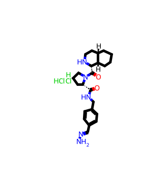 Cl.Cl.NN=Cc1ccc(CNC(=O)[C@@H]2CCCN2C(=O)[C@@H]2NCC[C@@H]3CCCC[C@@H]32)cc1